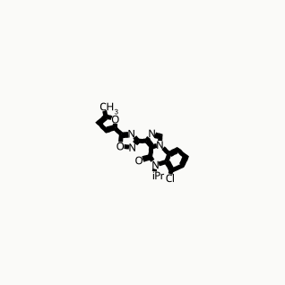 Cc1ccc(-c2nc(-c3ncn4c3c(=O)n(C(C)C)c3c(Cl)cccc34)no2)o1